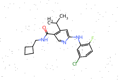 CC(C)c1cc(Nc2cc(Cl)ccc2F)ncc1C(=O)NCC1CCC1